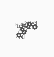 CCC1=Cc2c(-c3ccccc3Cl)cccc2[CH]1[Zr]([Cl])([Cl])([CH]1C(CC)=Cc2c(-c3ccccc3Cl)cccc21)=[Si](C)C